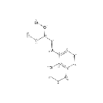 CCOC(COc1cccc2c1OCCO2)OCC